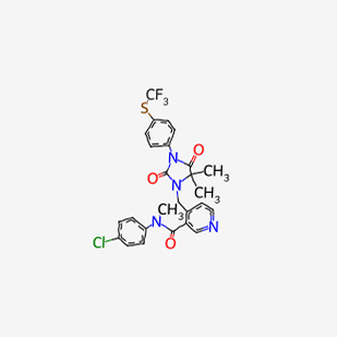 CN(C(=O)c1cnccc1CN1C(=O)N(c2ccc(SC(F)(F)F)cc2)C(=O)C1(C)C)c1ccc(Cl)cc1